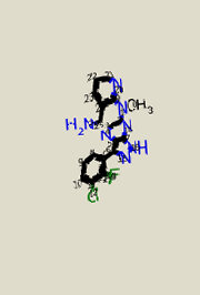 CN(c1cnc2c(-c3cccc(Cl)c3F)n[nH]c2n1)c1ncccc1CN